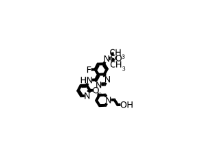 CS(C)(=O)=Nc1cc(F)c2c(Nc3cccnc3O[C@@H]3CCCN(CCO)C3)ncnc2c1